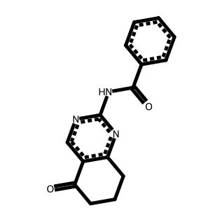 O=C(Nc1ncc2c(n1)CCCC2=O)c1ccccc1